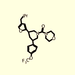 CC(C)Cc1coc(C2CC(c3ccc(OC(F)(F)F)cc3)CN(C(=O)N3CCOCC3)C2)c1